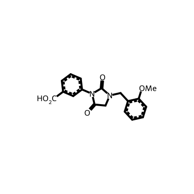 COc1ccccc1CN1CC(=O)N(c2cccc(C(=O)O)c2)C1=O